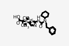 CC(C)(C(=O)O)S(=O)(=O)c1cnc(NC(=O)N(CCc2ccccc2)C2CCCCC2)s1